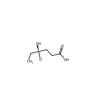 CC[C@@](O)(Cl)CCC(=O)O